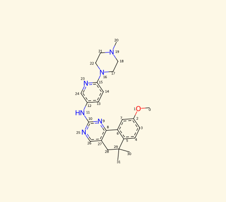 COc1ccc2c(c1)-c1nc(Nc3ccc(N4CCN(C)CC4)nc3)ncc1CC2(C)C